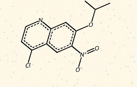 CC(C)Oc1cc2nccc(Cl)c2cc1[N+](=O)[O-]